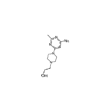 Cc1nc([NH])cc(N2CCN(CCO)CC2)n1